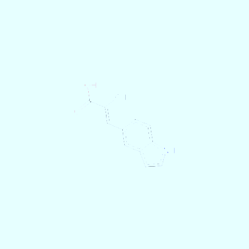 C/C(=C\c1ccc2[nH]ccc2c1)C(=O)O